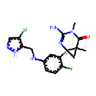 CN1C(=O)C2(C)C[C@]2(c2cc(NCc3[nH]ncc3Cl)ccc2F)N=C1N